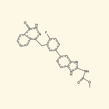 COC(=O)Nc1nc2cc(-c3ccc(F)c(Cc4n[nH]c(=O)c5ccccc45)c3)ccc2[nH]1